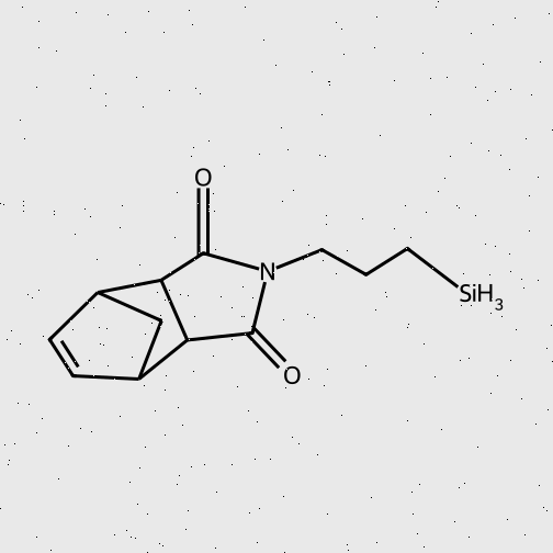 O=C1C2C3C=CC(C3)C2C(=O)N1CCC[SiH3]